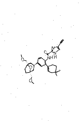 C#Cc1c[nH]c(C(=O)Nc2ccc([C@H]3C[C@@]4(COC)CC[C@@](COC)(C3)O4)cc2C2=CCC(C)(C)CC2)n1